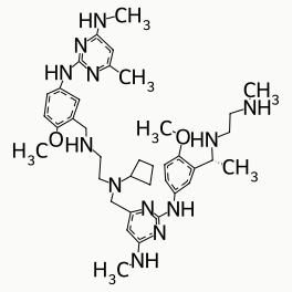 CNCCN[C@H](C)c1cc(Nc2nc(CN(CCNCc3cc(Nc4nc(C)cc(NC)n4)ccc3OC)C3CCC3)cc(NC)n2)ccc1OC